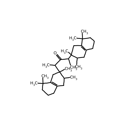 CC1CC2=C(CC1(C)C(C)C(=O)C(C)C1(C)CC3=C(CCCC3(C)C)CC1C)C(C)(C)CCC2